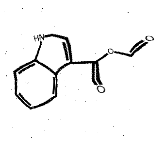 O=COC(=O)c1c[nH]c2ccccc12